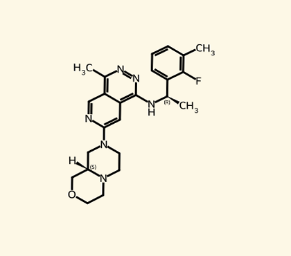 Cc1cccc([C@@H](C)Nc2nnc(C)c3cnc(N4CCN5CCOC[C@@H]5C4)cc23)c1F